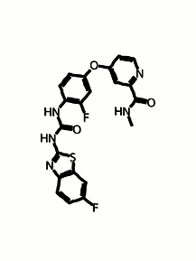 CNC(=O)c1cc(Oc2ccc(NC(=O)Nc3nc4ccc(F)cc4s3)c(F)c2)ccn1